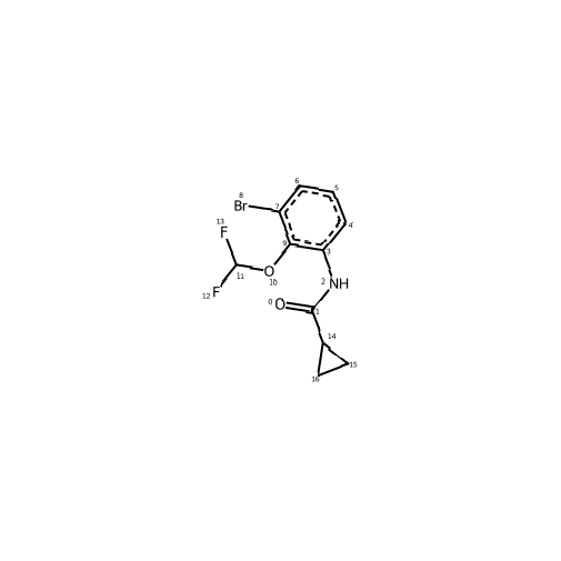 O=C(Nc1cccc(Br)c1OC(F)F)C1CC1